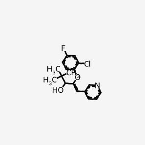 CC(C)(C)C(O)C(=Cc1cccnc1)Oc1ccc(F)cc1Cl